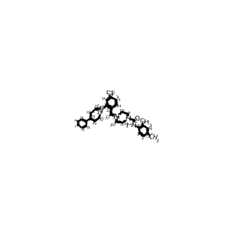 Cc1ccc(NC(=O)N2CCN(Cc3ccc(C(F)(F)F)cc3N3CCC(c4ccccc4)CC3)CC2)c(C)c1